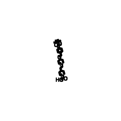 CC1(C)OB(c2ccc(COC3CCN(CCC4CCN(C(=O)O)CC4)CC3)cc2)OC1(C)C